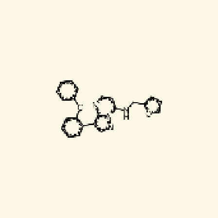 c1ccc(Oc2ccccc2-c2cnn3c(NCc4ccco4)ccnc23)cc1